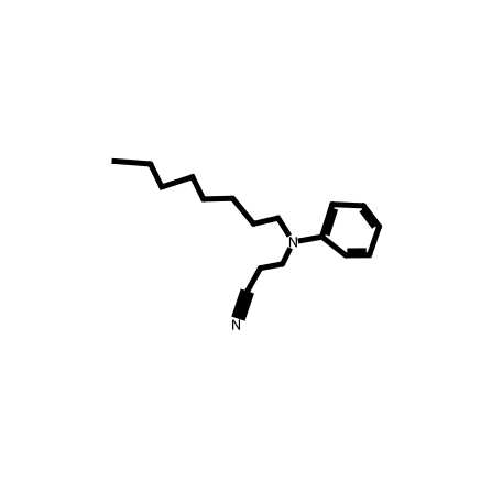 CCCCCCCCN(CCC#N)c1ccccc1